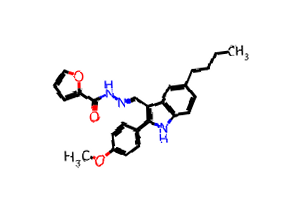 CCCCc1ccc2[nH]c(-c3ccc(OC)cc3)c(C=NNC(=O)c3ccco3)c2c1